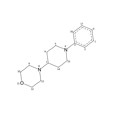 c1ccc(N2CCC(N3CCOCC3)CC2)cc1